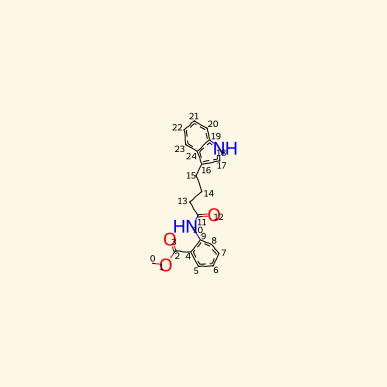 COC(=O)c1ccccc1NC(=O)CCCc1c[nH]c2ccccc12